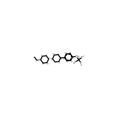 CC[C@H]1CC[C@H](C2CCC(c3ccc(OC(F)(F)F)cc3)CC2)CC1